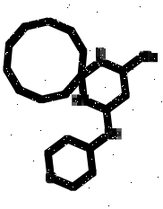 CC(C)(C)C1CC(NC2CCOCC2)NC2(CCCCCCCCC2)N1